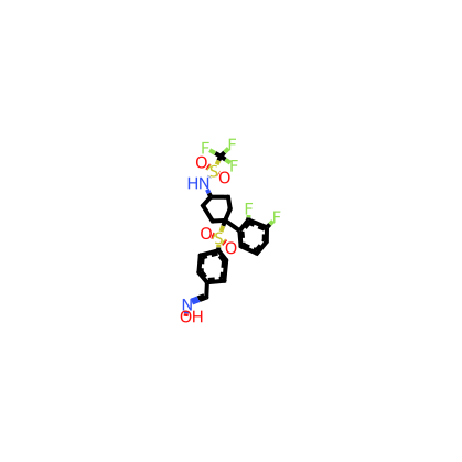 O=S(=O)(NC1CCC(c2cccc(F)c2F)(S(=O)(=O)c2ccc(C=NO)cc2)CC1)C(F)(F)F